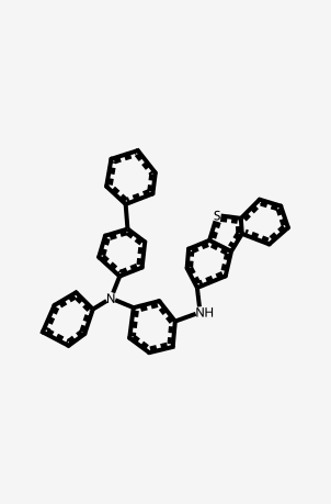 c1ccc(-c2ccc(N(c3ccccc3)c3cccc(Nc4ccc5sc6ccccc6c5c4)c3)cc2)cc1